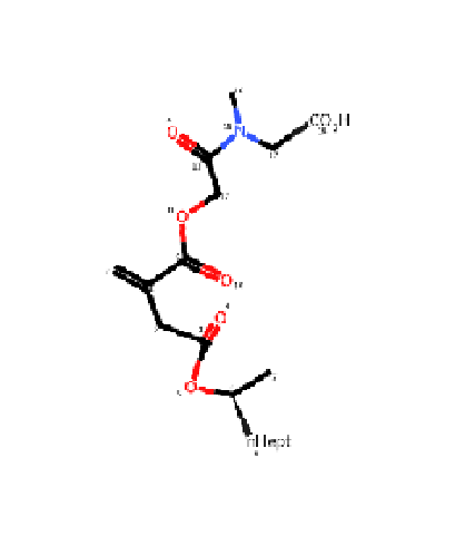 C=C(CC(=O)O[C@@H](C)CCCCCCC)C(=O)OCC(=O)N(C)CC(=O)O